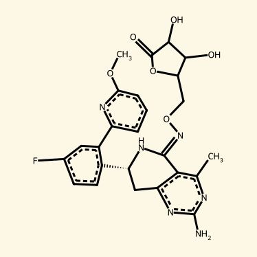 COc1cccc(-c2cc(F)ccc2[C@H]2Cc3nc(N)nc(C)c3/C(=N/OCC3OC(=O)C(O)C3O)N2)n1